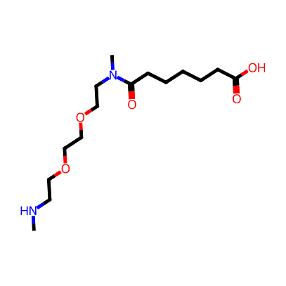 CNCCOCCOCCN(C)C(=O)CCCCCC(=O)O